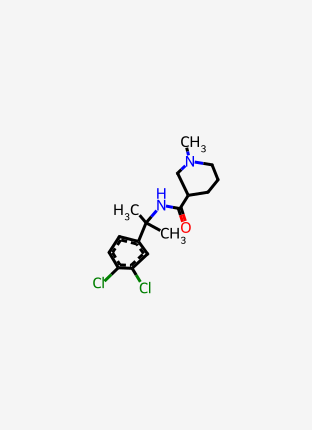 CN1CCCC(C(=O)NC(C)(C)c2ccc(Cl)c(Cl)c2)C1